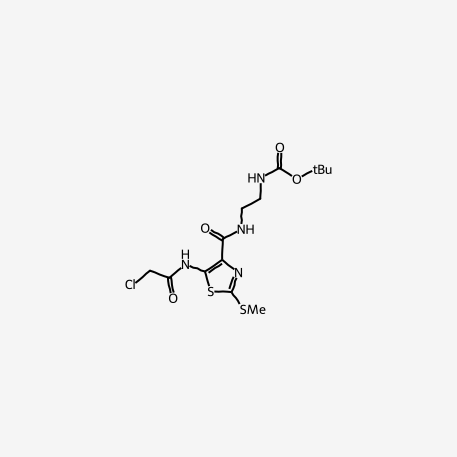 CSc1nc(C(=O)NCCNC(=O)OC(C)(C)C)c(NC(=O)CCl)s1